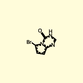 O=c1[nH]cnc2ccc(Br)n12